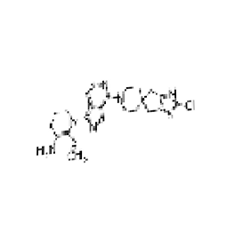 C=CC1=C(N)CCCN1c1ncc2c(N3CCC4(CC3)Cc3nc(Cl)sc3C4)nccn12